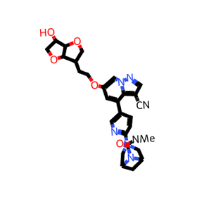 CNC(=O)N1C2CC1CN(c1ccc(-c3cc(OCCC4COC5C(O)COC45)cn4ncc(C#N)c34)cn1)C2